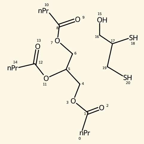 CCCC(=O)OCC(COC(=O)CCC)OC(=O)CCC.OCC(S)CS